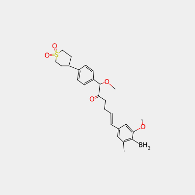 Bc1c(C)cc(/C=C/CCC(=O)C(OC)c2ccc(C3CCS(=O)(=O)CC3)cc2)cc1OC